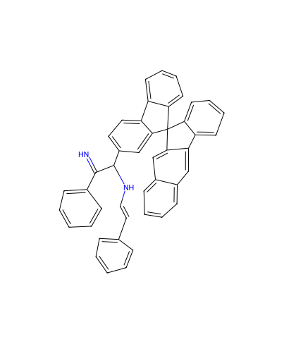 N=C(c1ccccc1)C(N/C=C/c1ccccc1)c1ccc2c(c1)C1(c3ccccc3-2)c2ccccc2-c2cc3ccccc3cc21